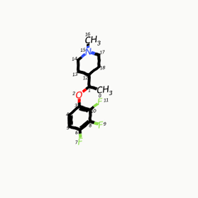 CC(Oc1ccc(F)c(F)c1F)C1CCN(C)CC1